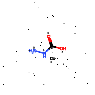 NNC(=O)O.[Cu]